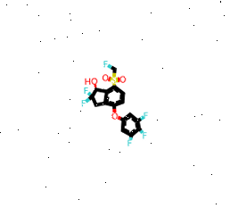 O=S(=O)(CF)c1ccc(Oc2cc(F)c(F)c(F)c2)c2c1[C@H](O)C(F)(F)C2